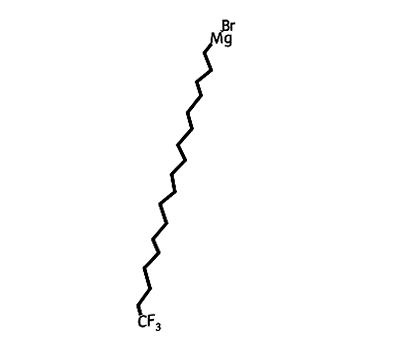 FC(F)(F)CCCCCCCCCCCCCCCC[CH2][Mg][Br]